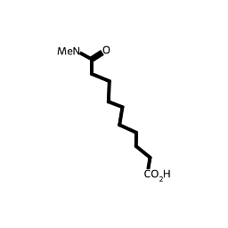 CNC(=O)CCCCCCCCC(=O)O